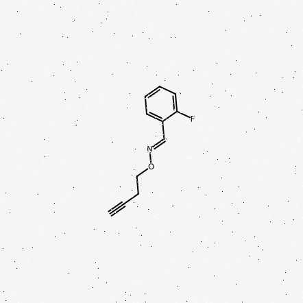 C#CCCON=[C]c1ccccc1F